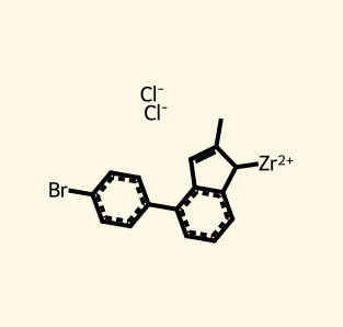 CC1=Cc2c(-c3ccc(Br)cc3)cccc2[CH]1[Zr+2].[Cl-].[Cl-]